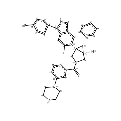 Cc1cc2c(cnn2-c2ccc(F)cc2)cc1[C@@]12CN(C(=O)c3cccc(N4CCOCC4)c3)C[C@@H]1[C@H]2c1ccccc1